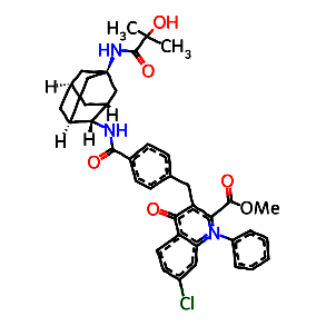 COC(=O)c1c(Cc2ccc(C(=O)N[C@H]3[C@@H]4C[C@H]5C[C@H]3C[C@](NC(=O)C(C)(C)O)(C5)C4)cc2)c(=O)c2ccc(Cl)cc2n1-c1ccccc1